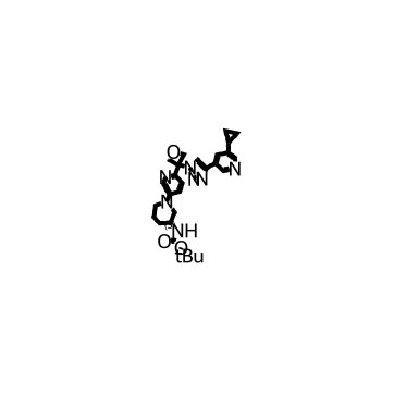 CC(C)(C)OC(=O)N[C@H]1CCCN(c2ccc(C3(n4cc(-c5cncc(C6CC6)c5)nn4)COC3)nc2)C1